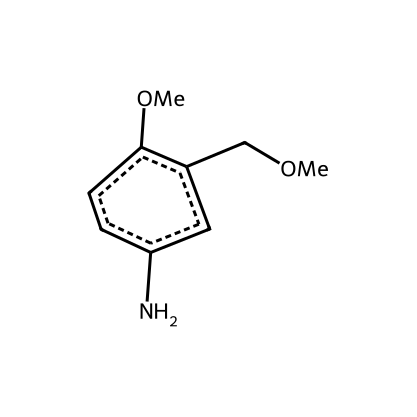 COCc1cc(N)ccc1OC